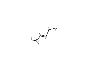 [CH2]C/C=C/OC